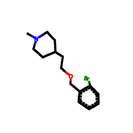 CN1CCC(CCOCc2ccccc2Br)CC1